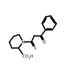 O=C(CC(=S)N1CCCCC1C(=O)O)c1ccccc1